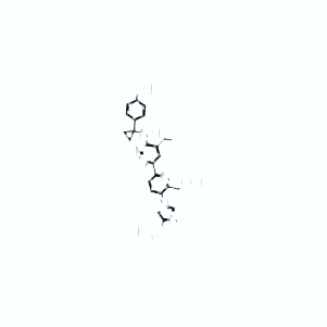 CCc1cc(-c2ccc(-n3cnc(C)c3)c(CO)n2)nnc1NC1(c2ccc(C)cc2)CC1